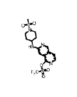 CS(=O)(=O)N1CCC(Nc2cc3c(OS(=O)(=O)C(F)(F)F)nccc3cn2)CC1